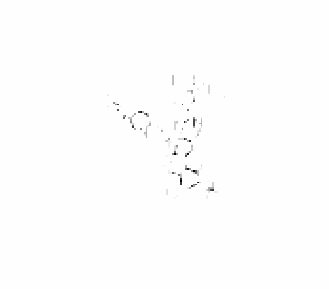 COc1cc(OC)c(Cl)c(-c2cc3cnc(NCC(C)(C)O)nc3n(CCc3ccc(NC=O)cn3)c2=O)c1Cl